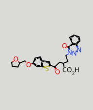 O=C(CC(CCn1nnc2ccccc2c1=O)C(=O)O)c1cc2ccc(OCC3CCCO3)cc2s1